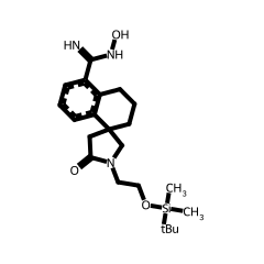 CC(C)(C)[Si](C)(C)OCCN1CC2(CCCc3c(C(=N)NO)cccc32)CC1=O